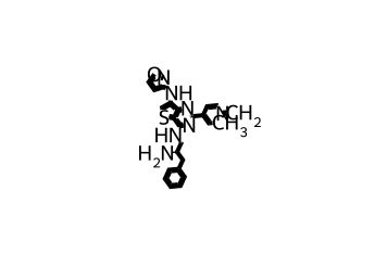 C=N/C=C\C(=C/C)c1nc(NC[C@@H](N)Cc2ccccc2)c2scc(Nc3ccon3)c2n1